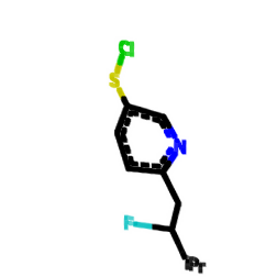 CC(C)C(F)Cc1ccc(SCl)cn1